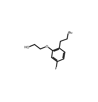 CCC(C)CCc1ccc(F)cc1OCCO